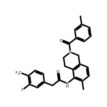 Cc1cccc(C(=O)N2CCc3c(ccc(C)c3NC(=O)Cc3ccc(C(F)(F)F)c(F)c3)C2)c1